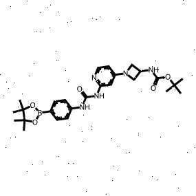 CC(C)(C)OC(=O)NC1CN(c2ccnc(NC(=O)Nc3ccc(B4OC(C)(C)C(C)(C)O4)cc3)c2)C1